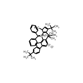 CCC1=[C]([Zr+2](=[C](c2ccccc2)c2ccccc2)[c]2c(C(C)(C)C)ccc3c2Cc2cc(C(C)(C)C)ccc2-3)C(C)C=C1C(C)(C)C.[Cl-].[Cl-]